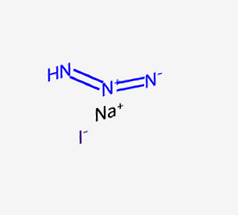 [I-].[N-]=[N+]=N.[Na+]